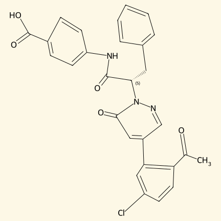 CC(=O)c1ccc(Cl)cc1-c1cnn([C@@H](Cc2ccccc2)C(=O)Nc2ccc(C(=O)O)cc2)c(=O)c1